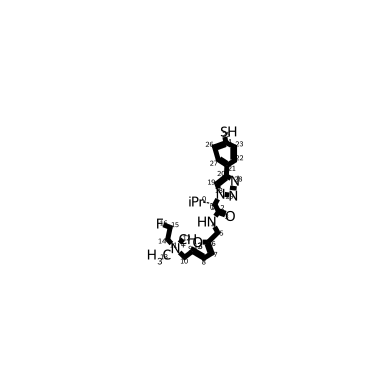 CC(C)[C@@H](C(=O)NCc1ccc(C[N+](C)(C)CCF)o1)n1cc(-c2ccc(S)cc2)nn1